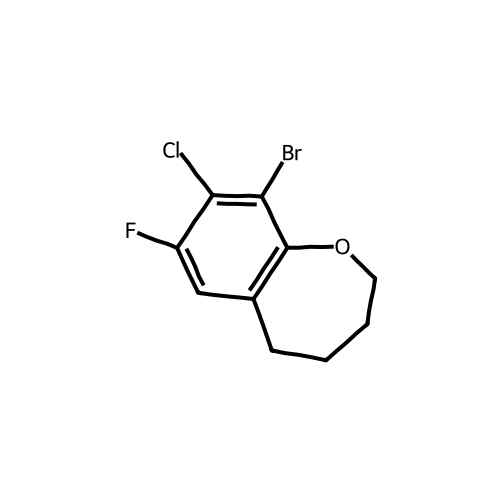 Fc1cc2c(c(Br)c1Cl)OCCCC2